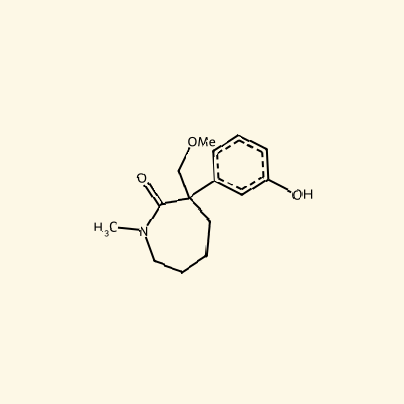 COCC1(c2cccc(O)c2)CCCCN(C)C1=O